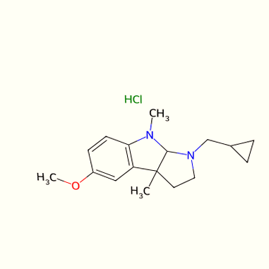 COc1ccc2c(c1)C1(C)CCN(CC3CC3)C1N2C.Cl